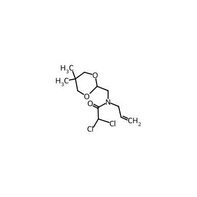 C=CCN(CC1OCC(C)(C)CO1)C(=O)C(Cl)Cl